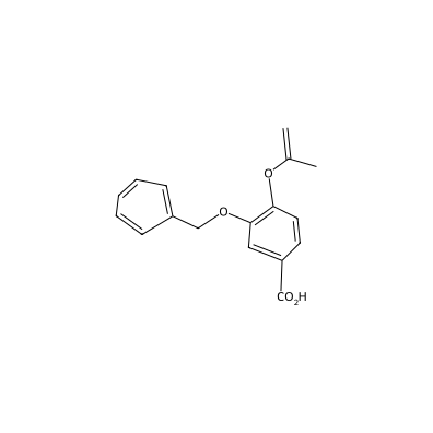 C=C(C)Oc1ccc(C(=O)O)cc1OCc1ccccc1